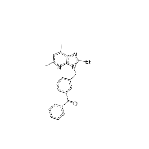 CCc1nc2c(C)cc(C)nc2n1Cc1cccc(C(=O)c2ccccc2)c1